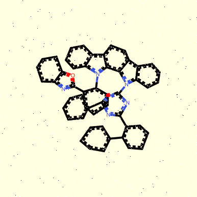 c1ccc(-c2nc(-c3ccccc3-c3ccccc3)nc(-n3c4ccccc4c4ccc5c6ccccc6n(-c6ccccc6-c6nc7ccccc7o6)c5c43)n2)cc1